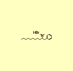 Br.CCCCCCCCCC(Cc1ccccc1)N(C)C